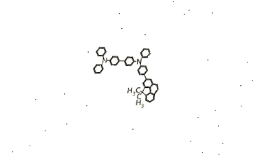 CC1(C)c2cccc3ccc4cc(-c5ccc(N(c6ccccc6)c6ccc(-c7ccc(N(c8ccccc8)c8ccccc8)cc7)cc6)cc5)cc1c4c23